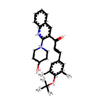 Cc1cc(/C=C/C(=O)c2cc3ccccc3nc2N2CCC(O)CC2)cc(C)c1OC(C)(C)C